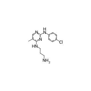 Cc1cnc(Nc2ccc(Cl)cc2)nc1NCCCN